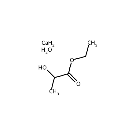 CCOC(=O)C(C)O.O.[CaH2]